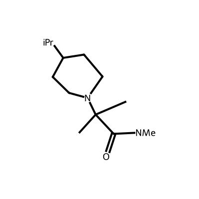 CNC(=O)C(C)(C)N1CCC(C(C)C)CC1